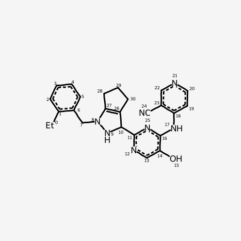 CCc1ccccc1CN1NC(c2ncc(O)c(Nc3ccncc3C#N)n2)C2=C1CCC2